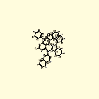 Cc1cc2c3c(c1)N(c1ccc4ccccc4c1)c1c4c(n(-c5ccccc5)c1B3c1c(oc3c1CCCC3)N2c1ccccc1)CCCC4